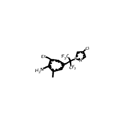 CCc1cc(C(n2cc(Cl)cn2)(C(F)(F)F)C(F)(F)F)cc(C)c1N